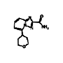 NC(=O)c1nc2cccc(C3CCOCC3)n2n1